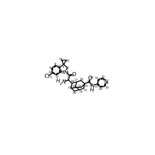 NC(C(=O)NCC1(c2ccc(Cl)cc2)CC1)C1C2CC3CC1CC(C(=O)Nc1ccncc1)(C3)C2